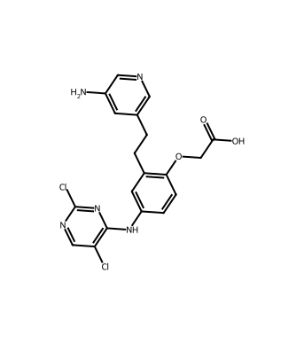 Nc1cncc(CCc2cc(Nc3nc(Cl)ncc3Cl)ccc2OCC(=O)O)c1